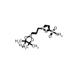 CC1(C)OB(C=CCn2ccc(S(N)(=O)=O)n2)OC1(C)C